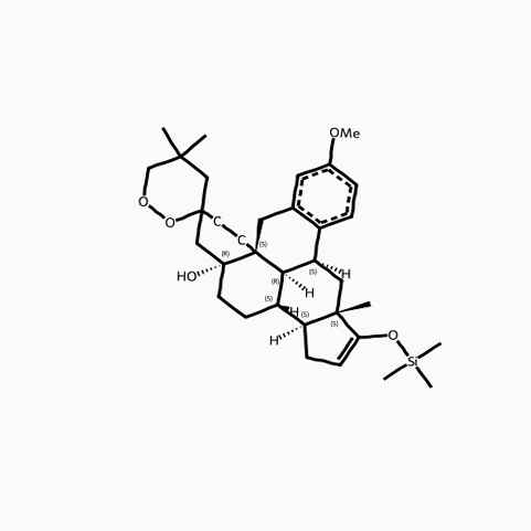 COc1ccc2c(c1)C[C@]13CCC4(CC(C)(C)COO4)C[C@]1(O)CC[C@@H]1[C@@H]3[C@@H]2C[C@]2(C)C(O[Si](C)(C)C)=CC[C@@H]12